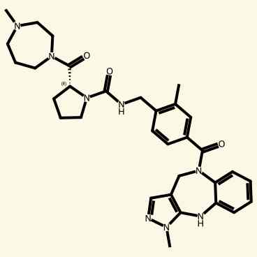 Cc1cc(C(=O)N2Cc3cnn(C)c3Nc3ccccc32)ccc1CNC(=O)N1CCC[C@@H]1C(=O)N1CCCN(C)CC1